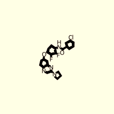 O=C(Nc1ccc(Oc2ccc3ncc(N4CCCC4)nc3c2)c(F)c1F)c1cccc(Cl)c1